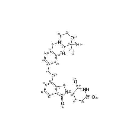 [2H]C1N(Cc2ccc(COc3cccc4c3CN(C3CCC(=O)NC3=O)C4=O)cc2)CCOC1([2H])[2H]